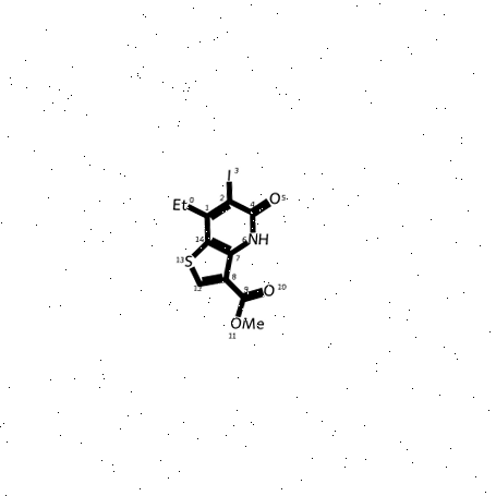 CCc1c(I)c(=O)[nH]c2c(C(=O)OC)csc12